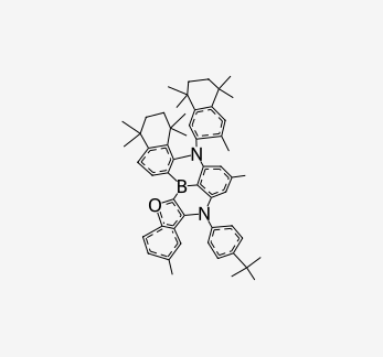 Cc1cc2c3c(c1)N(c1ccc(C(C)(C)C)cc1)c1c(oc4ccc(C)cc14)B3c1ccc3c(c1N2c1cc2c(cc1C)C(C)(C)CCC2(C)C)C(C)(C)CCC3(C)C